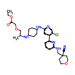 CCOC(=O)COCC(C)NC1CCC(Nc2cc(-c3cccc(NCC4(C#N)CCOCC4)n3)c(Cl)cn2)CC1